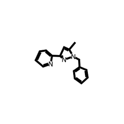 Cc1cc(-c2ccccn2)nn1Cc1ccccc1